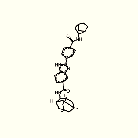 O=C(NC1CC2CCC1C2)c1ccc(-c2nc3cc(C(=O)NC4[C@H]5C[C@@H]6C[C@@H](C[C@H]4C6)C5)ccc3[nH]2)cc1